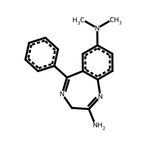 CN(C)c1ccc2c(c1)C(c1ccccc1)=NCC(N)=N2